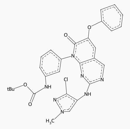 Cn1cc(Nc2ncc3cc(Oc4ccccc4)c(=O)n(-c4cccc(NC(=O)OC(C)(C)C)c4)c3n2)c(Cl)n1